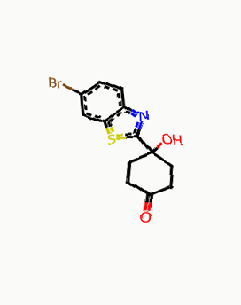 O=C1CCC(O)(c2nc3ccc(Br)cc3s2)CC1